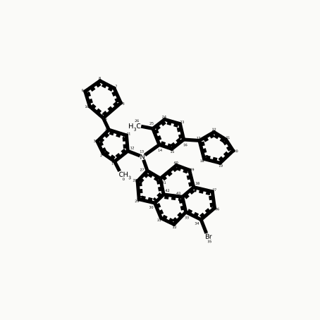 Cc1ccc(-c2ccccc2)cc1N(c1cc(-c2ccccc2)ccc1C)c1ccc2ccc3c(Br)ccc4ccc1c2c43